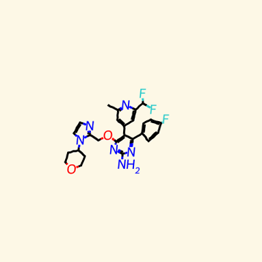 Cc1cc(-c2c(OCc3nccn3C3CCOCC3)nc(N)nc2-c2ccc(F)cc2)cc(C(F)F)n1